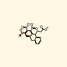 COC(=O)CCC12c3ccccc3C(c3ccccc31)c1cc([N+](=O)[O-])c([N+](=O)[O-])c([N+](=O)[O-])c12